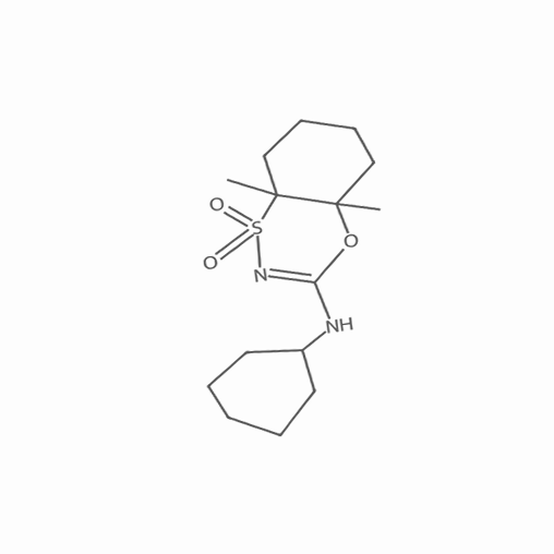 CC12CCCCC1(C)S(=O)(=O)N=C(NC1CCCCC1)O2